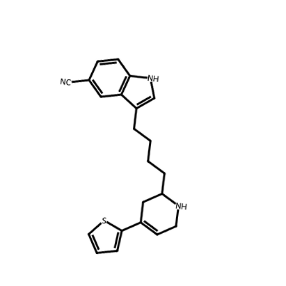 N#Cc1ccc2[nH]cc(CCCCC3CC(c4cccs4)=CCN3)c2c1